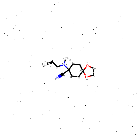 C=CCN(C)C1(C#N)CCC2(CC1)OCCO2